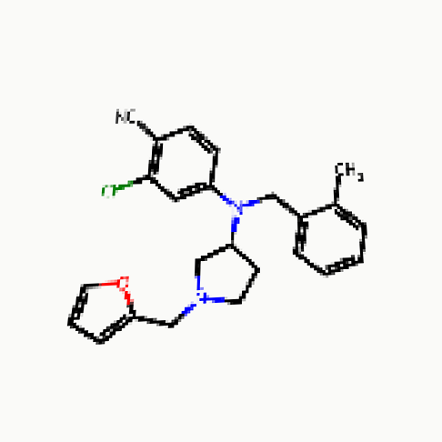 Cc1ccccc1CN(c1ccc(C#N)c(Cl)c1)[C@H]1CCN(Cc2ccco2)C1